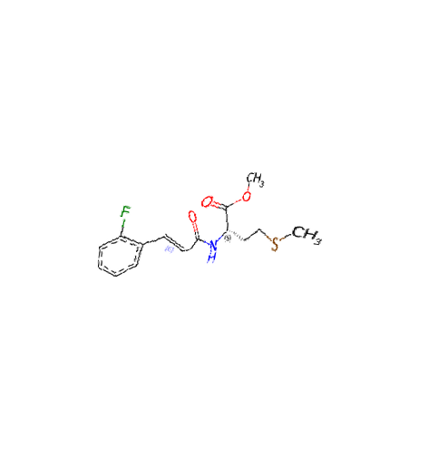 COC(=O)[C@H](CCSC)NC(=O)/C=C/c1ccccc1F